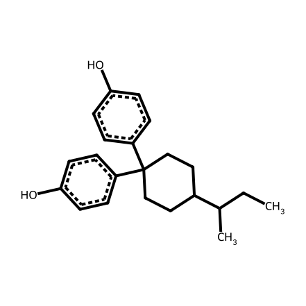 CCC(C)C1CCC(c2ccc(O)cc2)(c2ccc(O)cc2)CC1